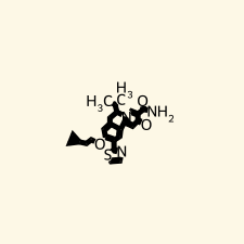 CC(C)C1Cc2cc(OCCC3CC3)c(-c3nccs3)cc2-c2cc(=O)c(C(N)=O)cn21